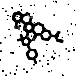 C=CC(=O)N1CCN2C(=O)c3c(N4CC(N5CCN(C)CC5)CC4(C)C)nc(-c4c(F)cccc4C(F)(F)F)c(Cl)c3OCC2C1